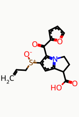 C=CC[S+]([O-])c1cc2n(c1C(=O)c1ccco1)CCC2C(=O)O